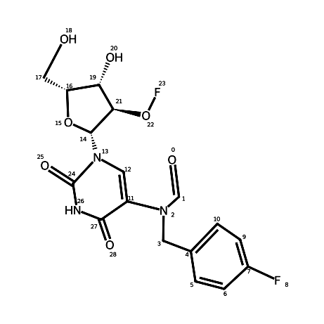 O=CN(Cc1ccc(F)cc1)c1cn([C@@H]2O[C@H](CO)[C@H](O)[C@H]2OF)c(=O)[nH]c1=O